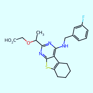 CC(OCC(=O)O)c1nc(NCc2cccc(F)c2)c2c3c(sc2n1)CCCC3